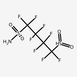 NS(=O)(=O)C(F)(F)C(F)(F)C(F)(F)C(F)(F)[SH](=O)=O